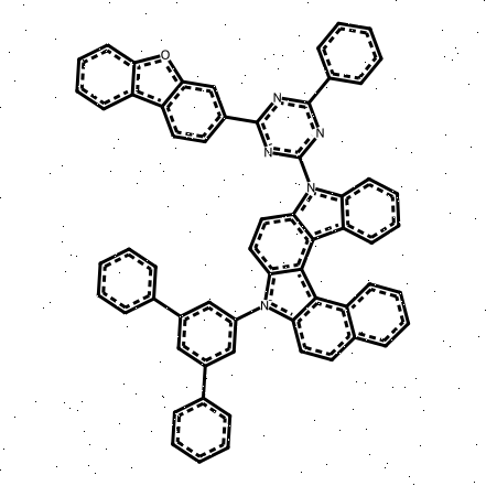 c1ccc(-c2cc(-c3ccccc3)cc(-n3c4ccc5ccccc5c4c4c5c6ccccc6n(-c6nc(-c7ccccc7)nc(-c7ccc8c(c7)oc7ccccc78)n6)c5ccc43)c2)cc1